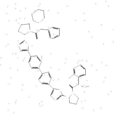 O=C(O)N[C@@H](C(=O)N1CCC[C@H]1c1ncc(-c2ccc(-c3ccc(-c4cnc([C@@H]5CCCN5C(=O)[C@@H](c5ccccc5)N5CCCCC5)[nH]4)cc3)cc2)[nH]1)c1ccccc1Cl